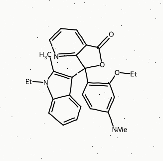 CCOc1cc(NC)ccc1C1(c2c(C)n(CC)c3ccccc23)OC(=O)c2cccnc21